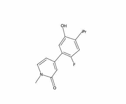 CC(C)c1cc(F)c(-c2ccn(C)c(=O)c2)cc1O